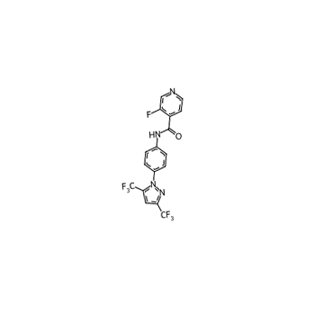 O=C(Nc1ccc(-n2nc(C(F)(F)F)cc2C(F)(F)F)cc1)c1ccncc1F